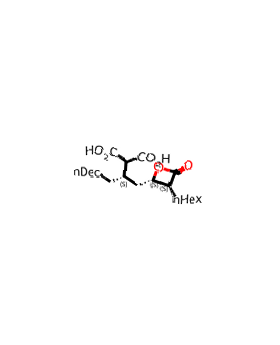 CCCCCCCCCCC[C@@H](C[C@@H]1OC(=O)[C@H]1CCCCCC)C(C(=O)O)C(=O)O